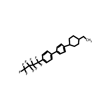 CCC1CCC(c2ccc(-c3ccc(C(F)(F)C(F)(F)C(F)(F)C(F)(F)F)cc3)cc2)CC1